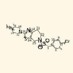 O=S(=O)(Cc1ccc(F)cc1)N1CCc2nc(N3CCNCC3)sc2C1